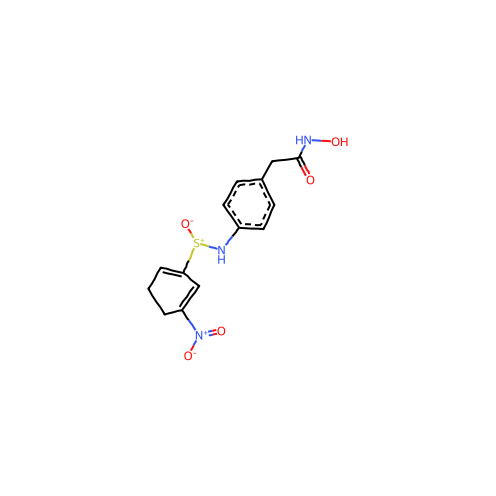 O=C(Cc1ccc(N[S+]([O-])C2=CCCC([N+](=O)[O-])=C2)cc1)NO